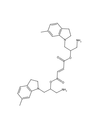 Cc1ccc2c(c1)N(CC(CN)OC(=O)/C=C/C(=O)OC(CN)CN1CCc3ccc(C)cc31)CC2